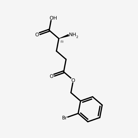 N[C@@H](CCC(=O)OCc1ccccc1Br)C(=O)O